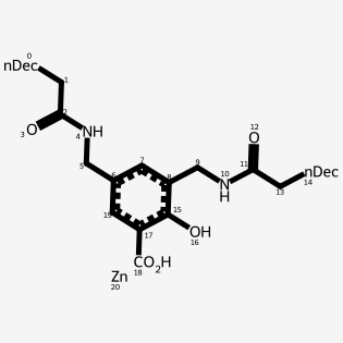 CCCCCCCCCCCC(=O)NCc1cc(CNC(=O)CCCCCCCCCCC)c(O)c(C(=O)O)c1.[Zn]